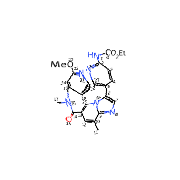 CCOC(=O)Nc1ccc(-c2cnc3c(C)cc(C(=O)N(C)c4ccnc(OC)c4)cn23)cn1